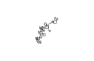 Cn1c(Nc2cc(C3CC3)cn(CCCN3CCCC(F)(F)C3)c2=O)nc2ncc(Oc3cnn4ccncc34)c(Cl)c21